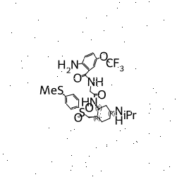 CSc1ccc(S(=O)(=O)C[C@@H]2CC[C@@H](NC(C)C)C[C@@H]2NC(=O)CNC(=O)c2cc(OC(F)(F)F)ccc2N)cc1